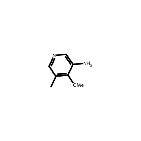 COc1c(C)cncc1N